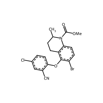 COC(=O)N1c2ccc(Br)c(Oc3ccc(Cl)cc3C#N)c2CCC1C